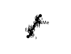 CCC(=O)N[C@@H](CCC(=O)NCc1ccc(CNC(=O)CC[C@H](NC(=O)[C@H](C)NC)C(=O)N2CCC[C@H]2CN(CCc2ccccc2)C(=O)C(F)(F)F)cc1)C(=O)N1CCC[C@H]1CN(CCc1ccccc1)C(=O)C(F)(F)F